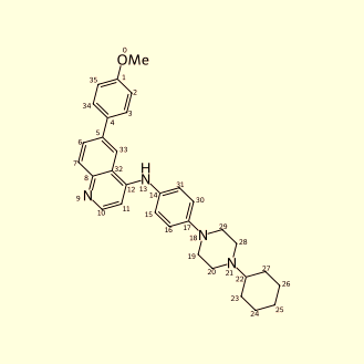 COc1ccc(-c2ccc3nccc(Nc4ccc(N5CCN(C6CCCCC6)CC5)cc4)c3c2)cc1